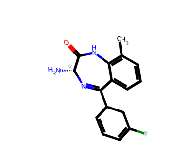 Cc1cccc2c1NC(=O)[C@@H](N)N=C2C1C=CC=C(F)C1